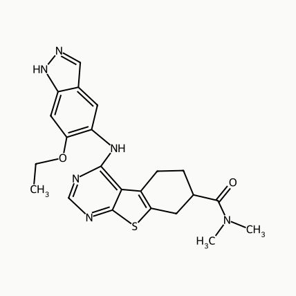 CCOc1cc2[nH]ncc2cc1Nc1ncnc2sc3c(c12)CCC(C(=O)N(C)C)C3